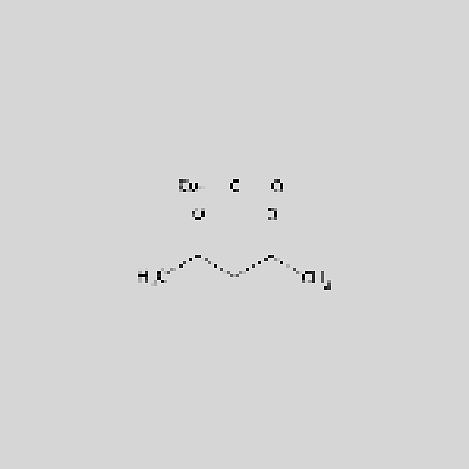 CC(=O)CC(C)=O.O=[C]=[Co]